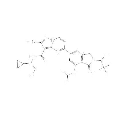 C[C@H](N1Cc2cc(-c3ccn4nc(N)c(C(=O)N[C@@H](CO)C5CC5)c4n3)cc(OC(F)F)c2C1=O)C(F)(F)F